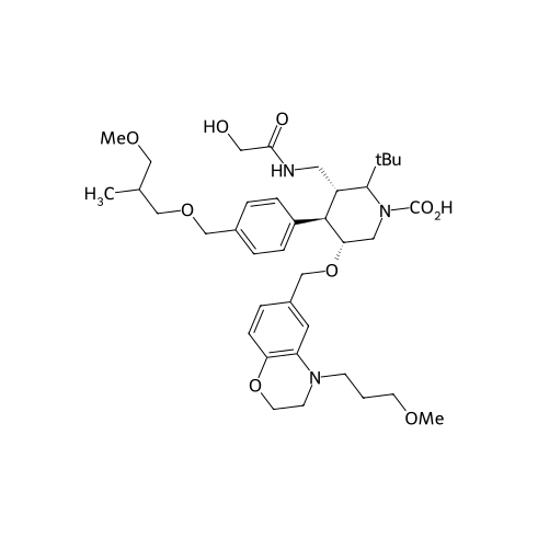 COCCCN1CCOc2ccc(CO[C@H]3CN(C(=O)O)C(C(C)(C)C)[C@@H](CNC(=O)CO)[C@@H]3c3ccc(COCC(C)COC)cc3)cc21